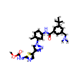 COC(=O)Nc1ncc(-c2cn(-c3cc(NC(=O)c4cc(CN(C)C)cc(C(C)(C)C)c4)ccc3C)nn2)s1